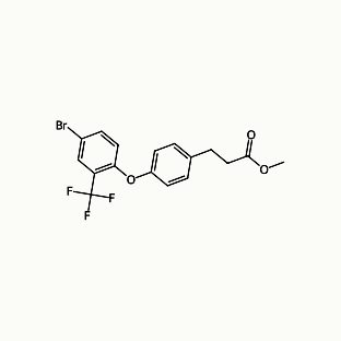 COC(=O)CCc1ccc(Oc2ccc(Br)cc2C(F)(F)F)cc1